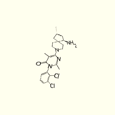 Cc1c(N2CCC3(CC2)C[C@H](C)C[C@H]3N)nc(C)n(-c2cccc(Cl)c2Cl)c1=O